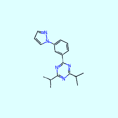 CC(C)c1nc(-c2cccc(-n3cccn3)c2)nc(C(C)C)n1